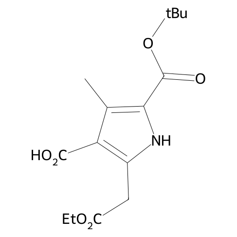 CCOC(=O)Cc1[nH]c(C(=O)OC(C)(C)C)c(C)c1C(=O)O